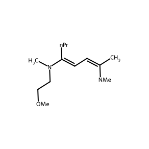 CCC/C(=C\C=C(\C)NC)N(C)CCOC